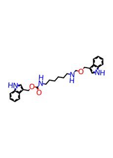 O=C(NCCCCCCNCOCc1c[nH]c2ccccc12)OCc1c[nH]c2ccccc12